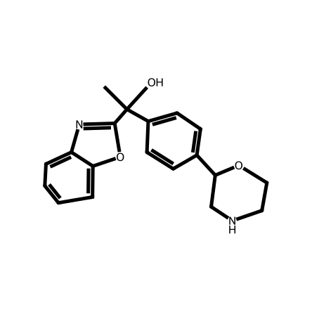 CC(O)(c1ccc(C2CNCCO2)cc1)c1nc2ccccc2o1